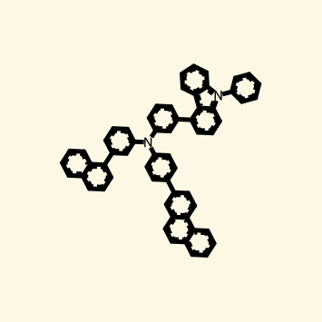 c1ccc(-n2c3ccccc3c3c(-c4cccc(N(c5ccc(-c6ccc7c(ccc8ccccc87)c6)cc5)c5cccc(-c6cccc7ccccc67)c5)c4)cccc32)cc1